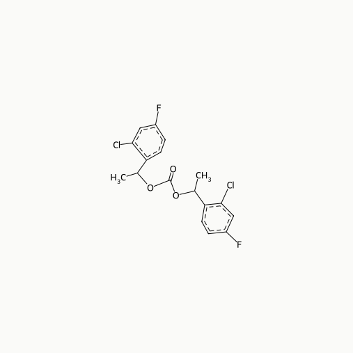 CC(OC(=O)OC(C)c1ccc(F)cc1Cl)c1ccc(F)cc1Cl